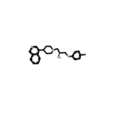 Cc1ccc(OC[C@@H](O)CN2CCC(c3cncc4ccccc34)CC2)cc1